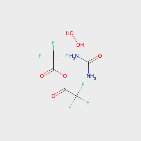 NC(N)=O.O=C(OC(=O)C(F)(F)F)C(F)(F)F.OO